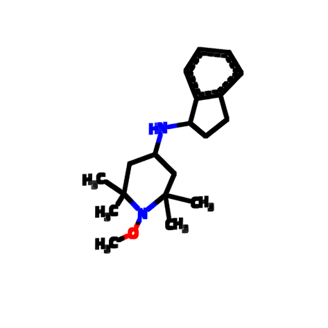 CON1C(C)(C)CC(NC2CCc3ccccc32)CC1(C)C